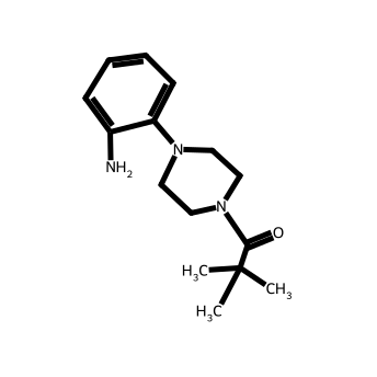 CC(C)(C)C(=O)N1CCN(c2ccccc2N)CC1